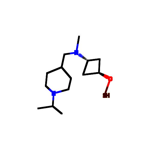 CC(C)N1CCC(CN(C)[C@H]2C[C@H](OS)C2)CC1